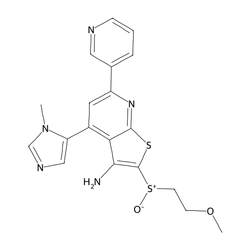 COCC[S+]([O-])c1sc2nc(-c3cccnc3)cc(-c3cncn3C)c2c1N